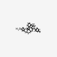 Cn1cc(SN2CCC3Cc4c(cnn4-c4ccc(F)cc4)CC3(C(=O)c3cc(C(F)(F)F)ccn3)C2)cn1